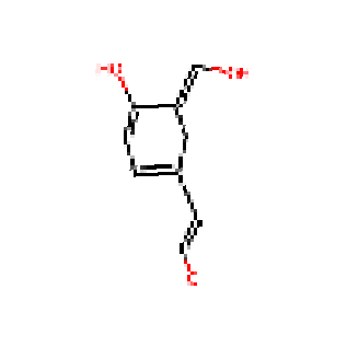 OC=CC1=CC=C(O)C(=CO)C1